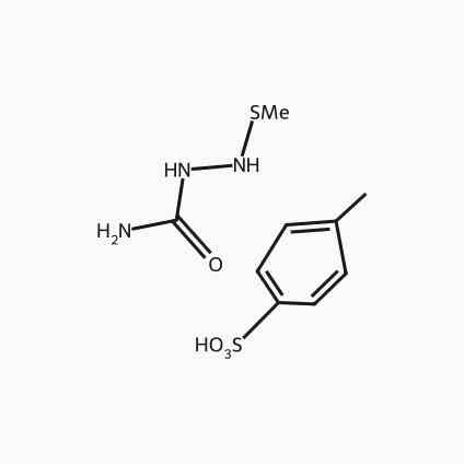 CSNNC(N)=O.Cc1ccc(S(=O)(=O)O)cc1